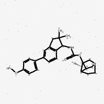 CCCOc1ccc(-c2ccc3c(c2)CC(C)(C)C3NC(=O)O[C@H]2CN3CCC2CC3)cc1